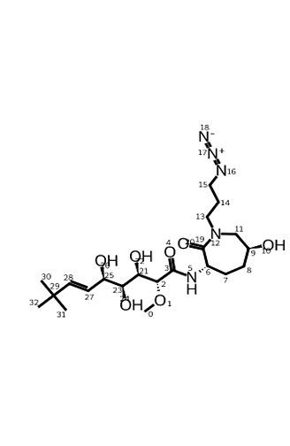 CO[C@@H](C(=O)N[C@H]1CC[C@H](O)CN(CCCN=[N+]=[N-])C1=O)[C@H](O)[C@@H](O)[C@H](O)/C=C/C(C)(C)C